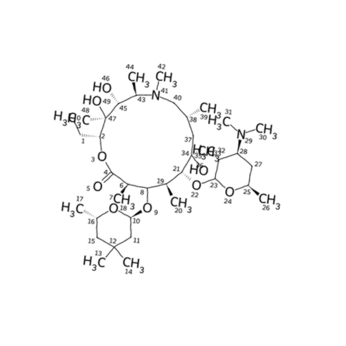 CC[C@H]1OC(=O)[C@H](C)C(O[C@H]2CC(C)(C)C[C@H](C)O2)[C@H](C)[C@@H](OC2O[C@H](C)C[C@H](N(C)C)[C@H]2C)[C@](C)(O)C[C@@H](C)CN(C)[C@H](C)[C@@H](O)[C@]1(C)O